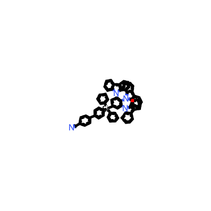 N#Cc1ccc(-c2ccc([Si](c3ccccc3)(c3ccccc3)c3cc(-n4c5ccccc5c5ccccc54)c(-n4c5ccccc5c5ccccc54)c(-n4c5ccccc5c5ccccc54)c3)cc2)cc1